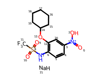 O=[N+](O)c1ccc(NS(=O)(=O)C(F)(F)F)c(OC2CCCCC2)c1.[NaH]